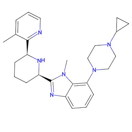 Cc1cccnc1[C@@H]1CCC[C@H](c2nc3cccc(N4CCN(C5CC5)CC4)c3n2C)N1